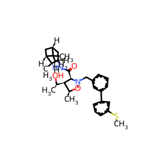 CSc1cccc(-c2cccc(CN3O[C@@H](C)[C@@H]([C@H](C)O)[C@H]3C(=O)N[C@H]3C[C@H]4C[C@@H]([C@@H]3C)C4(C)C)c2)c1